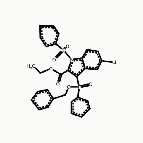 CCOC(=O)c1c(P(=O)(OCc2ccccc2)c2ccccc2)c2cc(Cl)ccc2n1S(=O)(=O)c1ccccc1